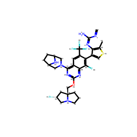 C=N/C(N)=N\c1c(-c2c(C(F)(F)F)cc3c(N4CC5CCC(C4)N5)nc(OC[C@@]45CCCN4C[C@H](F)C5)nc3c2F)csc1C